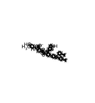 CC1(O)CCC(CNc2ncc(S(=O)(=O)NC(=O)c3ccc(N4CCC5(CC4)CC(N4CCN(C6CC6)C[C@H]4c4ccccc4C4CC4)C5)cc3Oc3cnc4[nH]ccc4c3)cc2[N+](=O)[O-])CC1